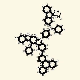 CC1(C)c2ccccc2-c2ccc(N(c3ccccc3)c3ccc(-n4c5ccc(-c6ccc7c8ccccc8c8ccccc8c7c6)cc5c5c(-c6ccccc6)c6c(cc54)oc4ccccc46)cc3)cc21